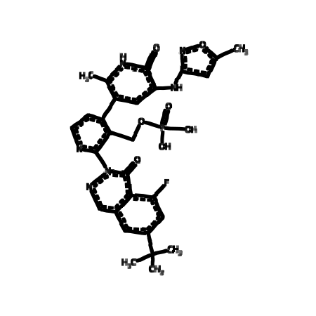 Cc1cc(Nc2cc(-c3ccnc(-n4ncc5cc(C(C)(C)C)cc(F)c5c4=O)c3COP(=O)(O)O)c(C)[nH]c2=O)no1